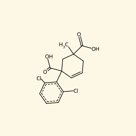 CC1(C(=O)O)CC=CC(C(=O)O)(c2c(Cl)cccc2Cl)C1